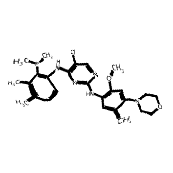 COc1cc(N2CCOCC2)c(C)cc1Nc1ncc(Cl)c(Nc2ccc(C)c(C)c2P(C)C)n1